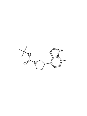 Cc1ccc(C2CCN(C(=O)OC(C)(C)C)C2)c2cc[nH]c12